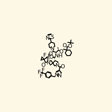 C[C@@H](OCC1(C(=O)OC(C)(C)C)CCCCC1)[C@H](NC(=O)[C@@H]1CN(C(=O)c2cnn(Cc3ccc(C(F)(F)F)cc3)c2)CC12CN(C(=O)C1(C(F)(F)F)CC1)C2)C(=O)N1CCC(c2nccs2)CC1